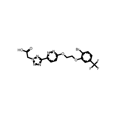 O=C(O)Cn1nnc(-c2ccc(OCCOc3cc(C(F)(F)F)ccc3Br)nn2)n1